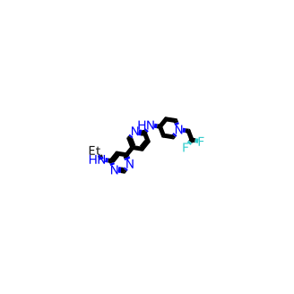 CCNc1cc(-c2ccc(NC3CCN(CC(F)F)CC3)nc2)ncn1